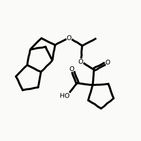 CC(OC(=O)C1(C(=O)O)CCCC1)OC1CC2CC1C1CCCC21